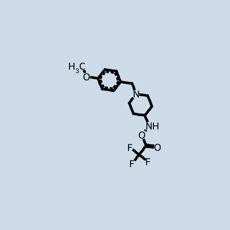 COc1ccc(CN2CCC(NOC(=O)C(F)(F)F)CC2)cc1